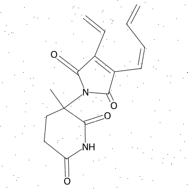 C=C/C=C\C1=C(C=C)C(=O)N(C2(C)CCC(=O)NC2=O)C1=O